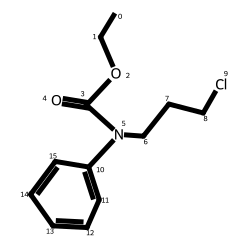 CCOC(=O)N(CCCCl)c1ccccc1